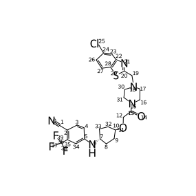 N#Cc1ccc(N[C@H]2CC[C@H](OCC(=O)N3CCN(Cc4nc5cc(Cl)ccc5s4)CC3)CC2)cc1C(F)(F)F